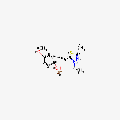 CC[n+]1nc(C)sc1/C=C/c1cc(OC)ccc1O.[Br-]